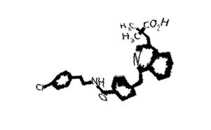 CC(C)(Cc1cnc(Cc2ccc(C(=O)NCCc3ccc(Cl)cc3)cc2)c2ccccc12)C(=O)O